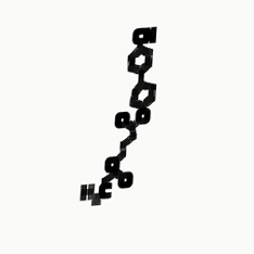 C=CC(=O)OCCCC(=O)Oc1ccc(-c2ccc(C#N)cc2)cc1